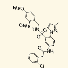 COc1ccc(CNS(=O)(=O)c2cc(NC(=O)Cc3ccccc3Cl)ccc2-n2ccc(C)n2)c(OC)c1